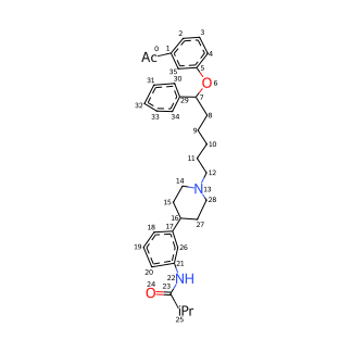 CC(=O)c1cccc(OC(CCCCCN2CCC(c3cccc(NC(=O)C(C)C)c3)CC2)c2ccccc2)c1